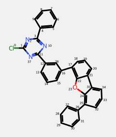 Clc1nc(-c2ccccc2)nc(-c2cccc(-c3cccc4c3oc3c(-c5ccccc5)cccc34)c2)n1